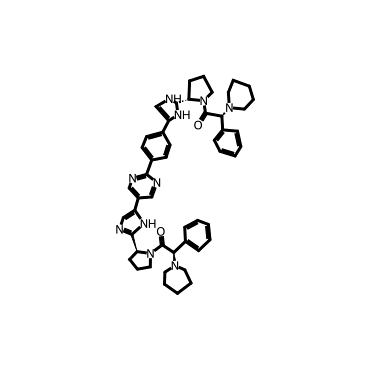 O=C([C@@H](c1ccccc1)N1CCCCC1)N1CCC[C@H]1c1ncc(-c2cnc(-c3ccc(C4=CNC([C@@H]5CCCN5C(=O)[C@@H](c5ccccc5)N5CCCCC5)N4)cc3)nc2)[nH]1